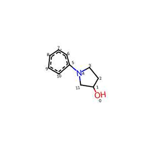 OC1CCN(c2c[c]ccc2)C1